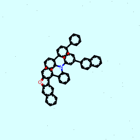 c1ccc(-c2ccc(-c3ccccc3N(c3cccc(-c4ccc5ccccc5c4)c3)c3ccccc3-c3cccc4oc5cc6ccccc6cc5c34)cc2)cc1